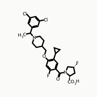 CC(c1cc(Cl)cc(Cl)c1)N1CCC(COc2cc(F)c(C(=O)N3C[C@H](F)C[C@H]3C(=O)O)cc2C2CC2)CC1